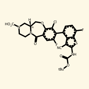 CC(C)(C)OC(=O)Nc1sc2c(F)ccc(-c3c(F)cc4c(c3Cl)OC[C@H]3CN(C(=O)O)CCN3C4=O)c2c1C#N